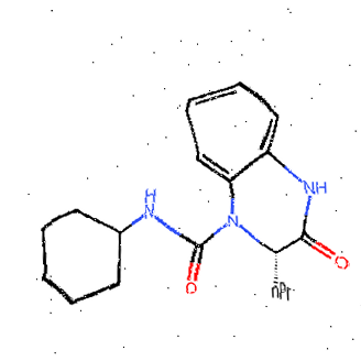 CCC[C@H]1C(=O)Nc2ccccc2N1C(=O)NC1CCCCC1